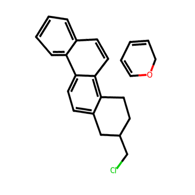 C1=CCOC=C1.ClCC1CCc2c(ccc3c2ccc2ccccc23)C1